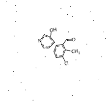 Cc1c(Cl)cccc1C=O.Oc1cccnc1